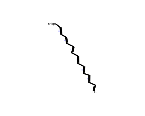 [CH]=C/C=C/C=C/C=C/C=C/C=C/C=C/CCCCCCC